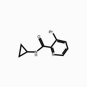 CC(C)c1cccnc1C(=O)NC1CC1